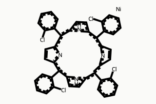 Clc1ccccc1-c1c2nc(c(-c3ccccc3Cl)c3ccc([nH]3)c(-c3ccccc3Cl)c3nc(c(-c4ccccc4Cl)c4ccc1[nH]4)C=C3)C=C2.[Ni]